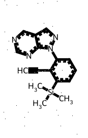 C#Cc1c(-n2ncc3cncnc32)cccc1[Si](C)(C)C